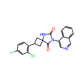 O=C1NC2(CC(c3ccc(F)cc3Cl)C2)C(=O)N1c1cncc2ccccc12